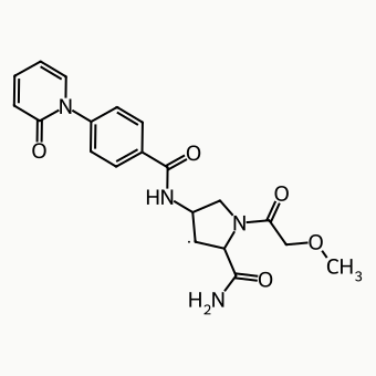 COCC(=O)N1CC(NC(=O)c2ccc(-n3ccccc3=O)cc2)[CH]C1C(N)=O